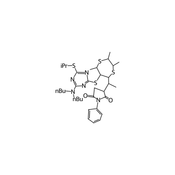 CCCCN(CCCC)c1nc(SC(C)C)nc(SC2C(C)SC(C)C(C)SC2C(C)C2CC(=O)N(c3ccccc3)C2=O)n1